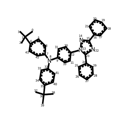 CC(C)(C)c1ccc(N(c2ccc(-n3nc(-c4ccccc4)nc3-c3ccccc3)cc2)c2ccc(C(C)(C)C)cc2)cc1